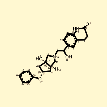 O=C1CCc2cc(C(O)CN3C[C@H]4C[C@H](Oc5ccccc5)C[C@@]4(O)C3)ccc2N1